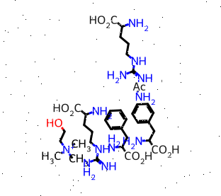 CC(N)=O.C[N+](C)(C)CCO.N=C(N)NCCCC(N)C(=O)O.N=C(N)NCCCC(N)C(=O)O.NC(Cc1ccccc1)C(=O)O.NC(Cc1ccccc1)C(=O)O